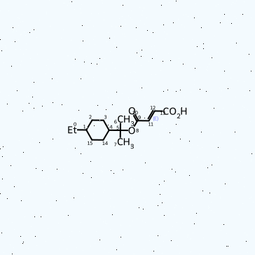 CCC1CCC(C(C)(C)OC(=O)/C=C/C(=O)O)CC1